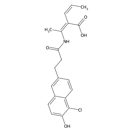 C/C=C\C(C(=O)O)=C(/C)NC(=O)CCc1ccc2c(Cl)c(O)ccc2c1